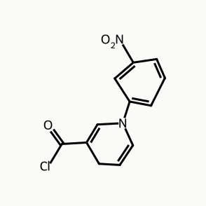 O=C(Cl)C1=CN(c2cccc([N+](=O)[O-])c2)C=CC1